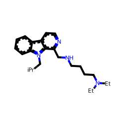 CCN(CC)CCCCNCc1nccc2c3ccccc3n(CC(C)C)c12